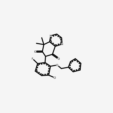 CC1(C)C(=O)C(c2c(F)ccc(Cl)c2OCc2ccccc2)C(=O)c2nccnc21